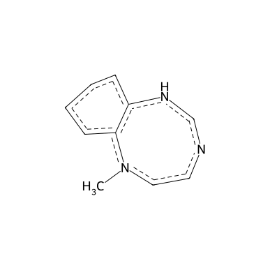 Cn1ccnc[nH]c2ccccc21